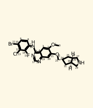 COc1cc2c(Nc3ccc(Br)c(Cl)c3F)ncnc2cc1OC[C@@H]1C[C@H]2CNC[C@H]2C1